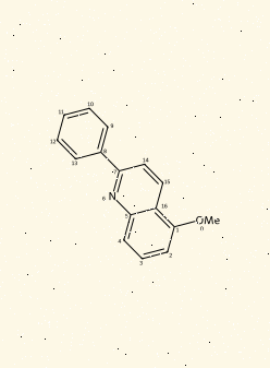 COc1cccc2nc(-c3ccccc3)ccc12